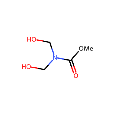 COC(=O)N(CO)CO